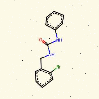 O=C(NCc1ccccc1Br)Nc1ccccc1